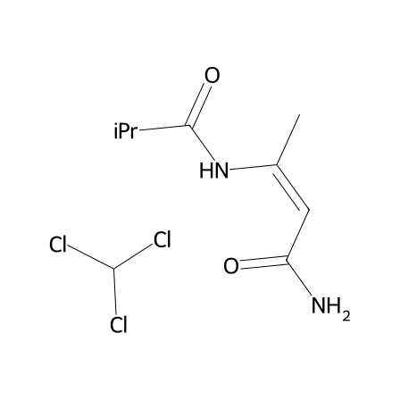 C/C(=C/C(N)=O)NC(=O)C(C)C.ClC(Cl)Cl